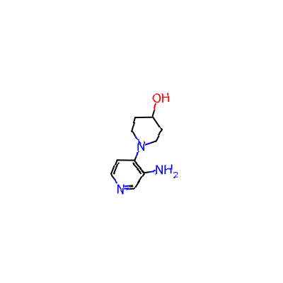 Nc1cnccc1N1CCC(O)CC1